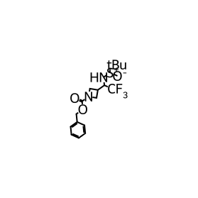 CC(C)(C)[S+]([O-])NC(C1CN(C(=O)OCc2ccccc2)C1)C(F)(F)F